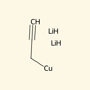 C#C[CH2][Cu].[LiH].[LiH]